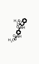 COC(=O)Nc1ccc(C(=O)NC(Cc2ccccc2)C(=O)OC)cc1